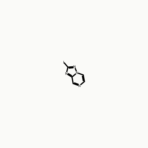 Ic1nc2cnccn2n1